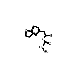 CC(C)C(Cc1ccc2c(c1)CCO2)OC(=O)NC(C)(C)C